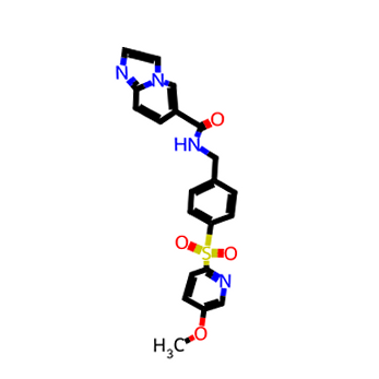 COc1ccc(S(=O)(=O)c2ccc(CNC(=O)c3ccc4nccn4c3)cc2)nc1